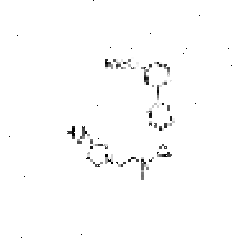 COc1cccc(-c2ccc(C3CC3NCCN3CC[C@@H](N)C3)cc2)c1